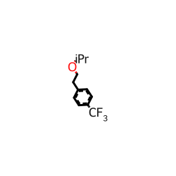 CC(C)OCCc1ccc(C(F)(F)F)cc1